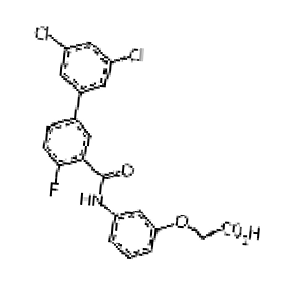 O=C(O)COc1cccc(NC(=O)c2cc(-c3cc(Cl)cc(Cl)c3)ccc2F)c1